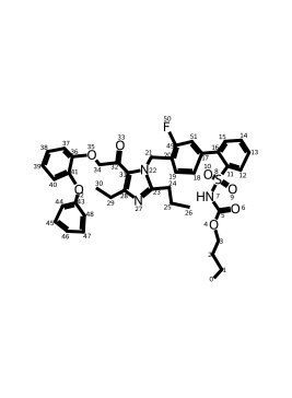 CCCCOC(=O)NS(=O)(=O)c1ccccc1-c1ccc(Cn2c(CCC)nc(CC)c2C(=O)COc2ccccc2Oc2ccccc2)c(F)c1